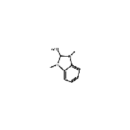 CC(=O)OC1N(C)c2ccccc2N1C